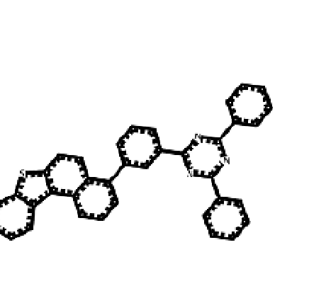 c1ccc(-c2nc(-c3ccccc3)nc(-c3cccc(-c4cccc5c4ccc4sc6ccccc6c45)c3)n2)cc1